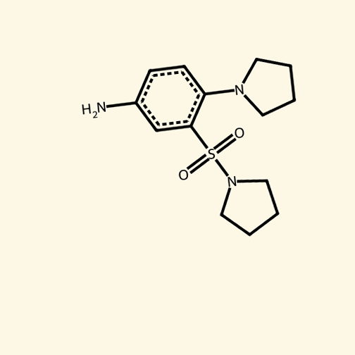 Nc1ccc(N2CCCC2)c(S(=O)(=O)N2CCCC2)c1